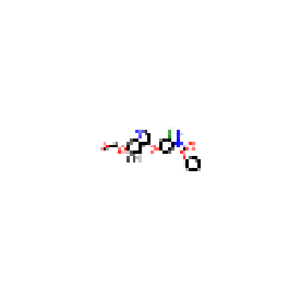 N#Cc1cc2c(Oc3ccc(NC(=O)Oc4ccccc4)c(F)c3)ccnc2cc1OCC1CO1